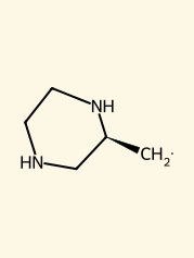 [CH2][C@H]1CNCCN1